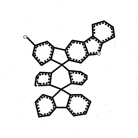 Clc1ccc2c(c1)-c1cc3c(cc1C21c2ccccc2C2(c4ccccc4-c4ccccc42)c2ccccc21)oc1ccccc13